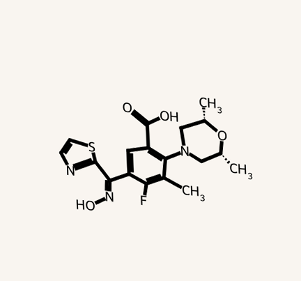 Cc1c(F)c(C(=NO)c2nccs2)cc(C(=O)O)c1N1C[C@@H](C)O[C@@H](C)C1